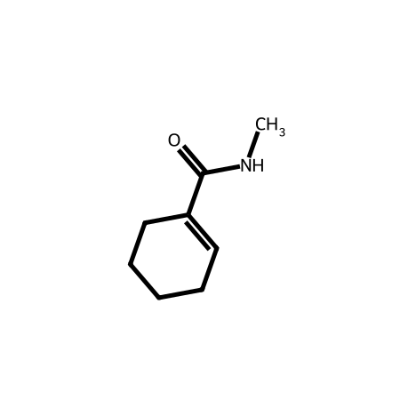 CNC(=O)C1=CCCCC1